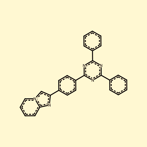 c1ccc(-c2nc(-c3ccccc3)nc(-c3ccc(-c4cn5ccccc5n4)cc3)n2)cc1